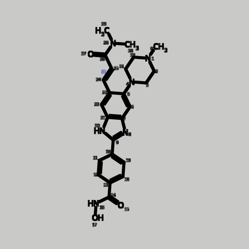 CN1CCN(c2cc3nc(-c4ccc(C(=O)NO)cc4)[nH]c3cc2/C=C/C(=O)N(C)C)CC1